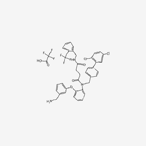 NCc1cccc(Oc2ccccc2N(Cc2ccc(-c3cc(Cl)ccc3Cl)cc2)C(=O)CCC(=O)NCc2ccccc2C(F)(F)F)c1.O=C(O)C(F)(F)F